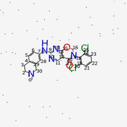 CN1CCc2ccc(Nc3ncc4c(n3)OCN(c3c(Cl)cccc3Cl)C4=O)cc2C1